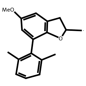 [CH2]C1Cc2cc(OC)cc(-c3c(C)cccc3C)c2O1